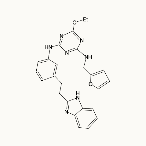 CCOc1nc(NCc2ccco2)nc(Nc2cccc(CCc3nc4ccccc4[nH]3)c2)n1